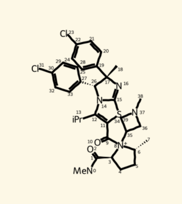 CNC(=O)[C@@H]1CC[C@@H](C)[N+]1(C(=O)C1=C(C(C)C)N2C(=N[C@@](C)(c3ccc(Cl)cc3)[C@H]2c2ccc(Cl)cc2)S1)C1CN(C)C1